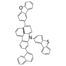 c1ccc(-c2ccc(-c3cccc4ccccc34)cc2N(c2ccc(-c3ccc4oc5ccccc5c4c3)cc2)c2ccc3sc4ccccc4c3c2)cc1